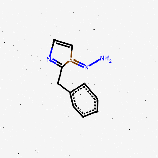 NN=S1C=CN=C1Cc1ccccc1